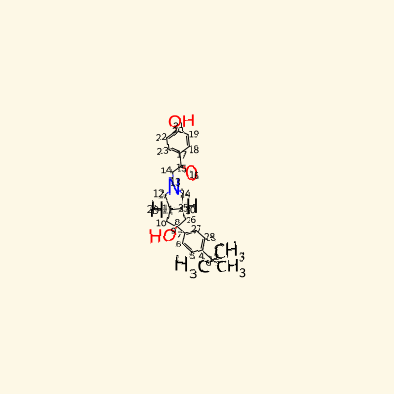 CC(C)(C)c1ccc([C@]2(O)C[C@H]3CN(CC(=O)c4ccc(O)cc4)C[C@H]3C2)cc1